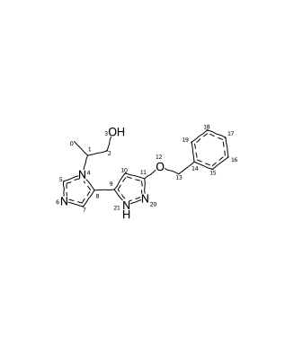 CC(CO)n1cncc1-c1cc(OCc2ccccc2)n[nH]1